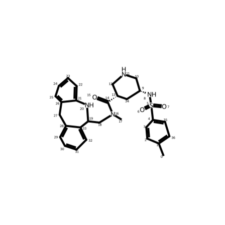 Cc1ccc(S(=O)(=O)N[C@H]2CNC[C@@H](C(=O)N(C)CC3Nc4ccccc4Cc4ccccc43)C2)cc1